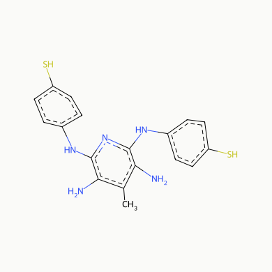 Cc1c(N)c(Nc2ccc(S)cc2)nc(Nc2ccc(S)cc2)c1N